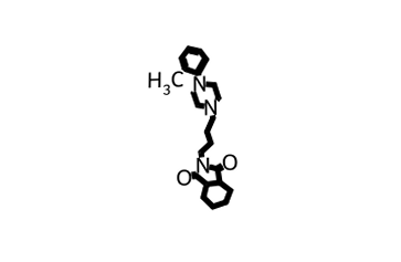 Cc1ccccc1N1CCN(CCCCN2C(=O)C3CCCCC3C2=O)CC1